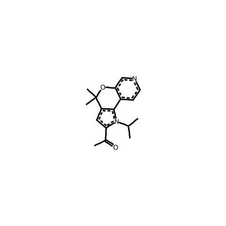 CC(=O)c1cc2c(n1C(C)C)-c1ccncc1OC2(C)C